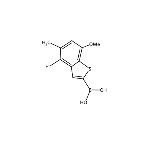 CCc1c(C)cc(OC)c2sc(B(O)O)cc12